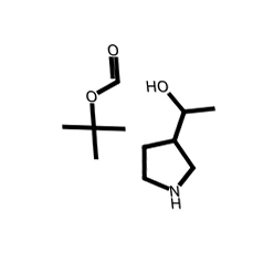 CC(C)(C)OC=O.CC(O)C1CCNC1